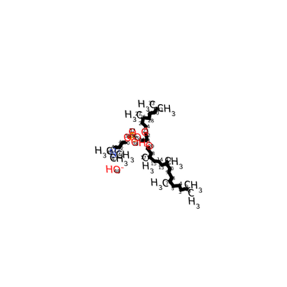 CC(C)CCCC(C)CCCC(C)CCCC(C)CCOC(COCCC(C)CCCC(C)C)COP(=O)(O)OCCCC[N+](C)(C)C.[OH-]